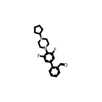 O=Cc1ccccc1-c1cc(F)c(N2CCN(C3CCCC3)CC2)c(F)c1